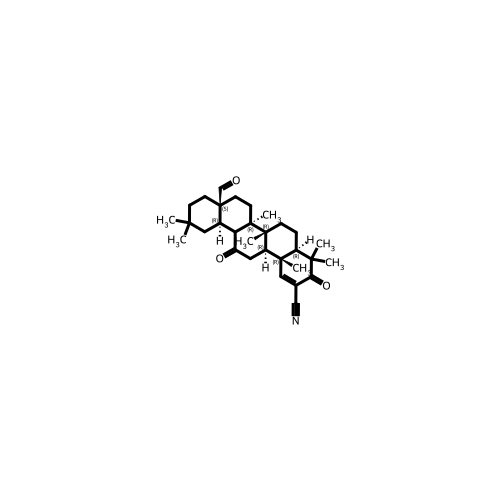 CC1(C)CC[C@]2(C=O)CC[C@]3(C)C(C(=O)C[C@@H]4[C@@]5(C)C=C(C#N)C(=O)C(C)(C)[C@@H]5CC[C@]43C)[C@H]2C1